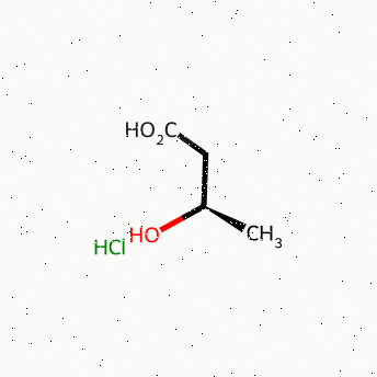 C[C@@H](O)CC(=O)O.Cl